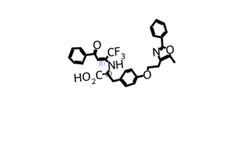 Cc1oc(-c2ccccc2)nc1CCOc1ccc(C[C@H](N/C(=C/C(=O)c2ccccc2)C(F)(F)F)C(=O)O)cc1